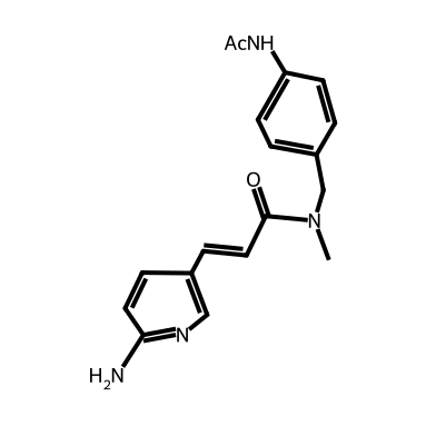 CC(=O)Nc1ccc(CN(C)C(=O)C=Cc2ccc(N)nc2)cc1